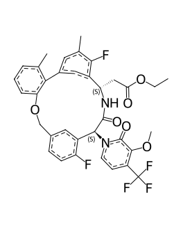 CCOC(=O)C[C@@H]1NC(=O)[C@@H](n2ccc(C(F)(F)F)c(OC)c2=O)c2cc(ccc2F)COc2cccc(C)c2-c2cc(C)c(F)c1c2